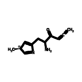 C=C=CC(=O)C(N)CC1=C[C@@H](C)C=N1